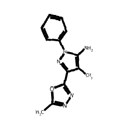 Cc1nnc(-c2nn(-c3ccccc3)c(N)c2C)o1